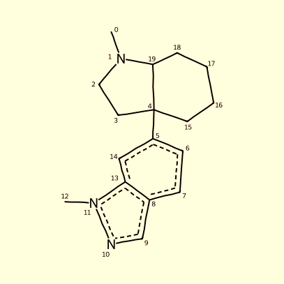 CN1CCC2(c3ccc4cnn(C)c4c3)CCCCC12